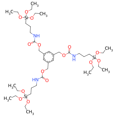 CCO[Si](CCCNC(=O)OCc1cc(COC(=O)NCCC[Si](OCC)(OCC)OCC)cc(COC(=O)NCCC[Si](OCC)(OCC)OCC)c1)(OCC)OCC